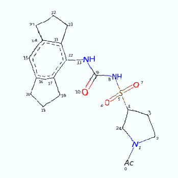 CC(=O)N1CCC(S(=O)(=O)NC(=O)Nc2c3c(cc4c2CCC4)CCC3)C1